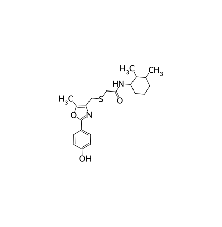 Cc1oc(-c2ccc(O)cc2)nc1CSCC(=O)NC1CCCC(C)C1C